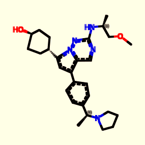 COC[C@H](C)Nc1ncc2c(-c3ccc([C@H](C)N4CCCC4)cc3)cc([C@H]3CC[C@H](O)CC3)n2n1